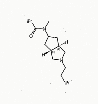 CC(C)CCN1C[C@@H]2CC(N(C)C(=O)C(C)C)C[C@H]2C1